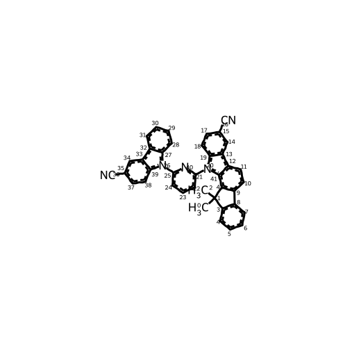 CC1(C)c2ccccc2-c2ccc3c4cc(C#N)ccc4n(-c4cccc(-n5c6ccccc6c6cc(C#N)ccc65)n4)c3c21